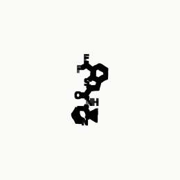 O=C(NC1C2CCN(CC2)C12CC2)c1cc2cccc(C(F)F)c2s1